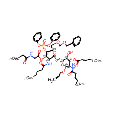 C=CCO[C@H]1O[C@H](CO[C@@H]2O[C@H](COCOCc3ccccc3)[C@@H](OP(=O)(Oc3ccccc3)Oc3ccccc3)[C@H](OC(=O)CNC(=O)CCCCCCCCCCC)[C@H]2NC(=O)CCCCCCCCCCCCC)[C@@H](O)[C@H](OC(=O)CCCCCCCCCCCCC)[C@H]1NC(=O)CCCCCCCCCCCCC